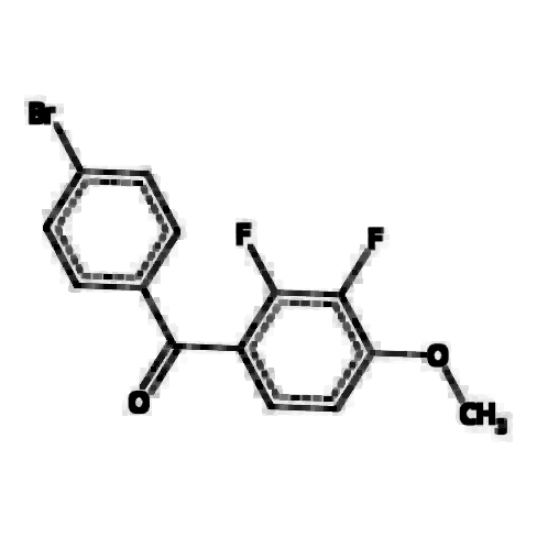 COc1ccc(C(=O)c2ccc(Br)cc2)c(F)c1F